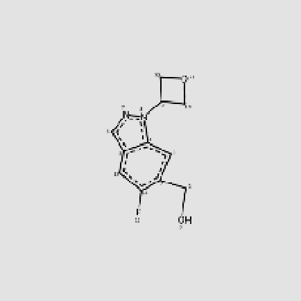 OCc1cc2c(cnn2C2COC2)cc1F